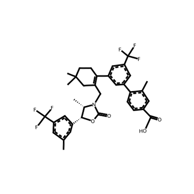 Cc1cc([C@H]2OC(=O)N(CC3=C(c4cc(-c5ccc(C(=O)O)cc5C)cc(C(F)(F)F)c4)CCC(C)(C)C3)[C@H]2C)cc(C(F)(F)F)c1